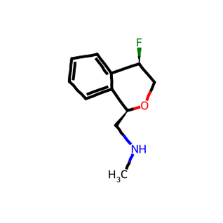 CNC[C@@H]1OC[C@H](F)c2ccccc21